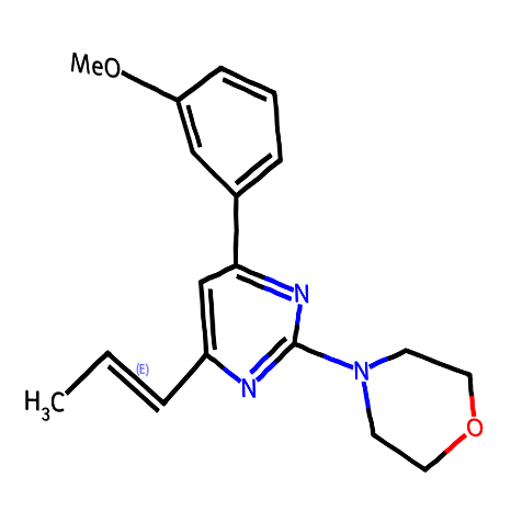 C/C=C/c1cc(-c2cccc(OC)c2)nc(N2CCOCC2)n1